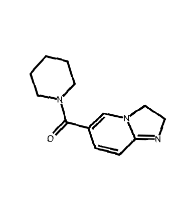 O=C(C1=CN2CCN=C2C=C1)N1CCCCC1